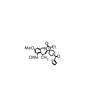 CCN1C(=O)N2Cc3cc(OC)cc(OC)c3[C@@H](C)C=C2C12CCN(C(=O)c1cccs1)CC2